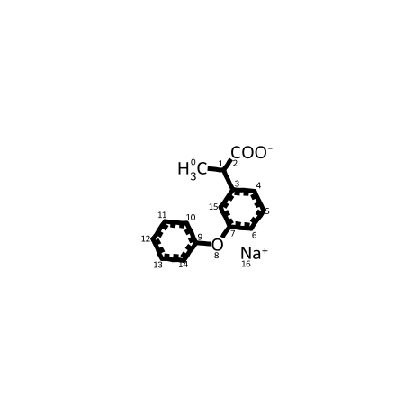 CC(C(=O)[O-])c1cccc(Oc2ccccc2)c1.[Na+]